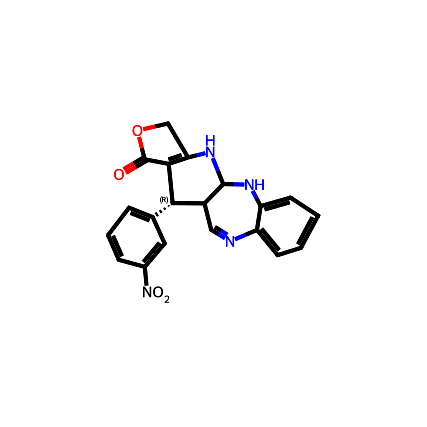 O=C1OCC2=C1[C@@H](c1cccc([N+](=O)[O-])c1)C1C=Nc3ccccc3NC1N2